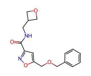 O=C(NCC1COC1)c1cc(COCc2ccccc2)on1